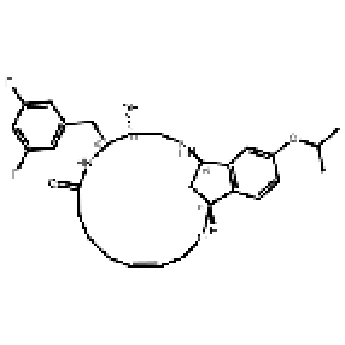 CC(C)Oc1ccc2c(c1)[C@@H]1C[C@H]2OCC=CCCCC(=O)N[C@@H](Cc2cc(F)cc(F)c2)[C@H](O)CN1